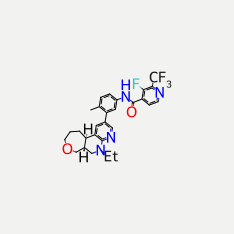 CCN1C[C@@H]2COCCC[C@H]2c2cc(-c3cc(NC(=O)c4ccnc(C(F)(F)F)c4F)ccc3C)cnc21